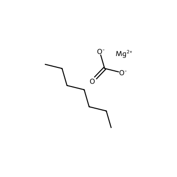 CCCCCCC.O=C([O-])[O-].[Mg+2]